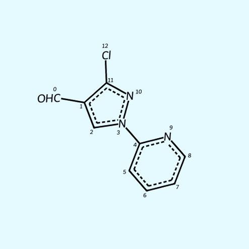 O=Cc1cn(-c2ccccn2)nc1Cl